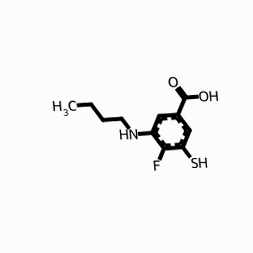 CCCCNc1cc(C(=O)O)cc(S)c1F